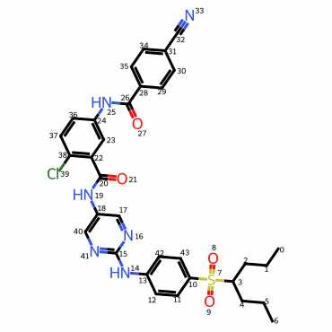 CCCC(CCC)S(=O)(=O)c1ccc(Nc2ncc(NC(=O)c3cc(NC(=O)c4ccc(C#N)cc4)ccc3Cl)cn2)cc1